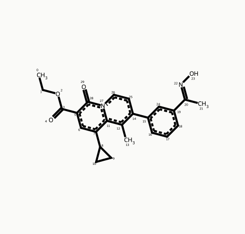 CCOC(=O)c1cc(C2CC2)c2c(C)c(-c3cccc(C(C)=NO)c3)ccn2c1=O